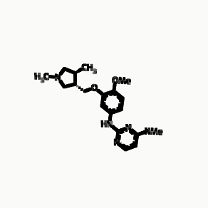 CNc1ccnc(Nc2ccc(OC)c(OC[C@@H]3CN(C)C[C@H]3C)c2)n1